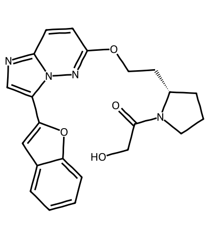 O=C(CO)N1CCC[C@H]1CCOc1ccc2ncc(-c3cc4ccccc4o3)n2n1